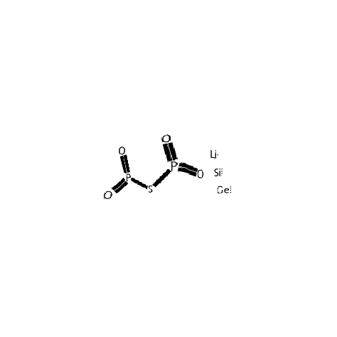 O=P(=O)SP(=O)=O.[Ge].[Li].[Si]